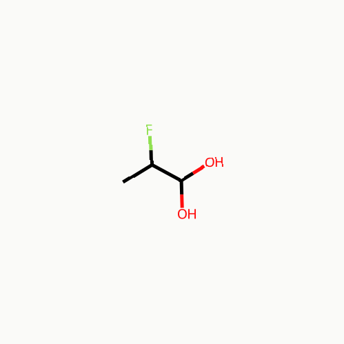 CC(F)C(O)O